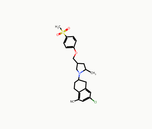 CC1CC(COc2ccc(S(C)(=O)=O)cc2)CN1C1CCc2c(C#N)cc(Cl)cc2C1